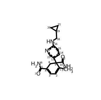 CC1=CC=C(C(N)=O)CC1(C(N)=O)c1ccc(NCC2CC2)nc1